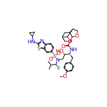 COc1ccc(C[C@H](NC(=O)OC2C3COC4OCC2C4C3)[C@H](O)CN(C(F)C(C)C)S(=O)(=O)c2ccc3nc(NC4CC4)sc3c2)cc1